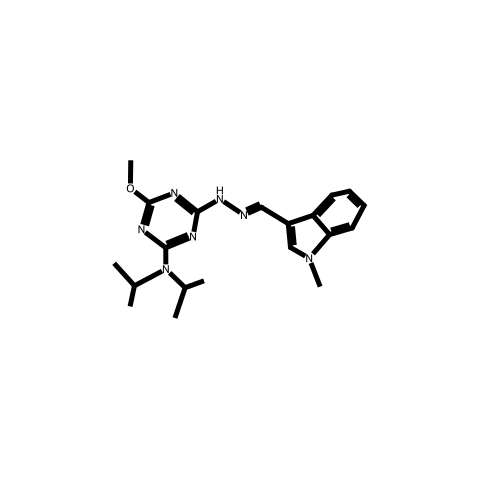 COc1nc(NN=Cc2cn(C)c3ccccc23)nc(N(C(C)C)C(C)C)n1